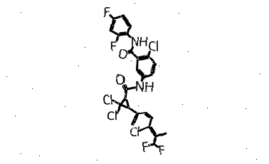 C=C(/C=C\C(Cl)=C(/C)C(F)F)C1C(C(=O)Nc2ccc(Cl)c(C(=O)Nc3ccc(F)cc3F)c2)C1(Cl)Cl